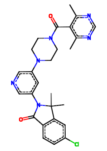 Cc1ncnc(C)c1C(=O)N1CCN(c2cncc(N3C(=O)c4ccc(Cl)cc4C3(C)C)c2)CC1